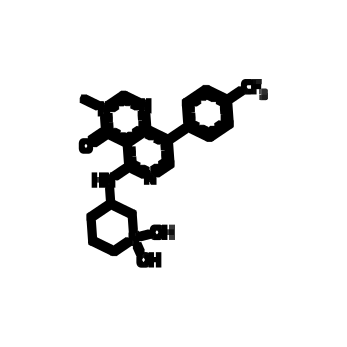 Cn1cnc2c(-c3ccc(C(F)(F)F)cc3)cnc(NC3CCCS(O)(O)C3)c2c1=O